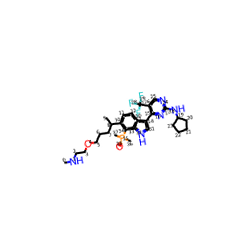 CNCCOCCCC(C)c1ccc2c(-c3nc(NC4CCCC4)ncc3C(F)(F)F)c[nH]c2c1P(C)(C)=O